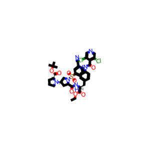 CCOC(=O)[C@H](Cc1ccc(NC(=O)c2c(Cl)cncc2Cl)cc1)NC(=O)C1C[C@@H](N2CCC[C@@H]2C(=O)OC(C)(C)C)CN1S(=O)(=O)c1cccc(C#N)c1